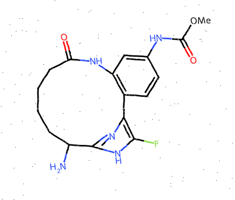 COC(=O)Nc1ccc2c(c1)NC(=O)CCCCC(N)c1nc-2c(F)[nH]1